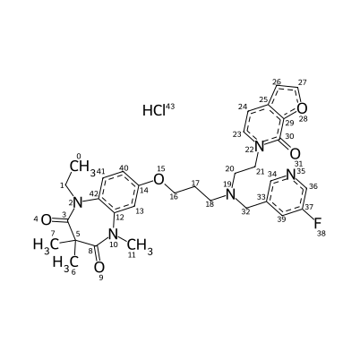 CCN1C(=O)C(C)(C)C(=O)N(C)c2cc(OCCCN(CCn3ccc4ccoc4c3=O)Cc3cncc(F)c3)ccc21.Cl